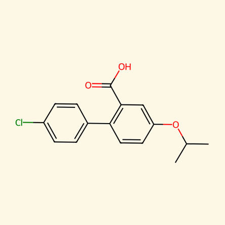 CC(C)Oc1ccc(-c2ccc(Cl)cc2)c(C(=O)O)c1